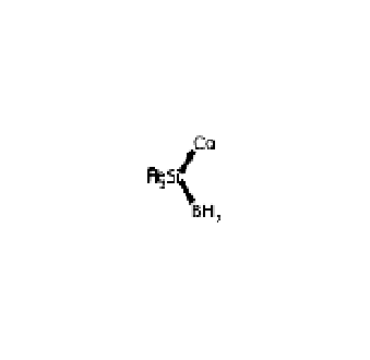 B[SiH2][Co].[Fe]